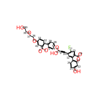 O=c1oc2cc(OC(O)C#Cc3cc4c(cc3F)c(=O)oc3cc(O)ccc34)ccc2c2ccc(OCCOCCO)cc12